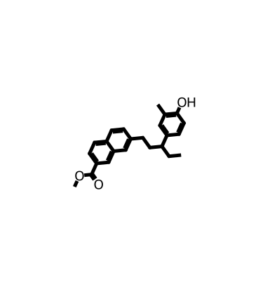 CCC(CCc1ccc2ccc(C(=O)OC)cc2c1)c1ccc(O)c(C)c1